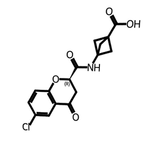 O=C1C[C@H](C(=O)NC23CC(C(=O)O)(C2)C3)Oc2ccc(Cl)cc21